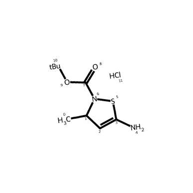 CC1C=C(N)SN1C(=O)OC(C)(C)C.Cl